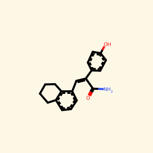 NC(=O)/C(=C\c1cccc2c1CCCC2)c1ccc(O)cc1